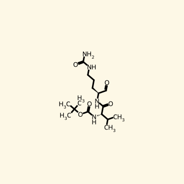 CC(C)[C@H](NC(=O)OC(C)(C)C)C(=O)N[C@H](C=O)CCCNC(N)=O